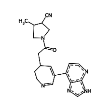 CC1CN(C(=O)CC2C=C(c3ccnc4[nH]cnc34)C=NCC2)CC1C#N